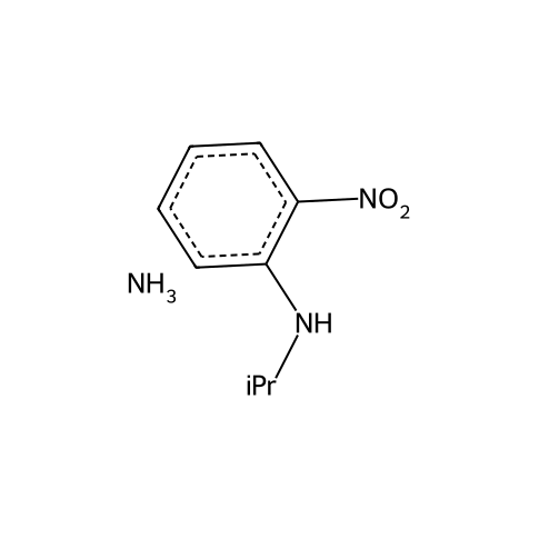 CC(C)Nc1ccccc1[N+](=O)[O-].N